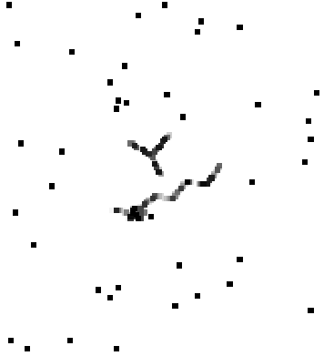 CC(C)C.CCCC[CH2][Al][CH3]